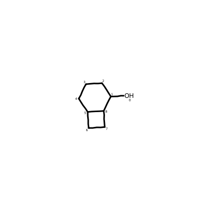 OC1CCCC2CCC12